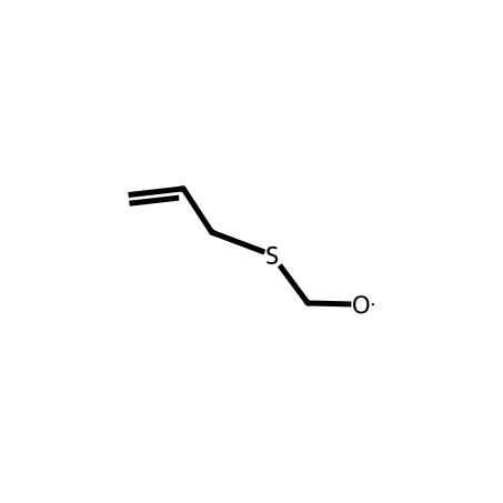 C=CCSC[O]